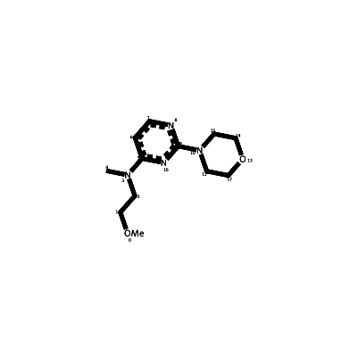 COCCN(C)c1ccnc(N2CCOCC2)n1